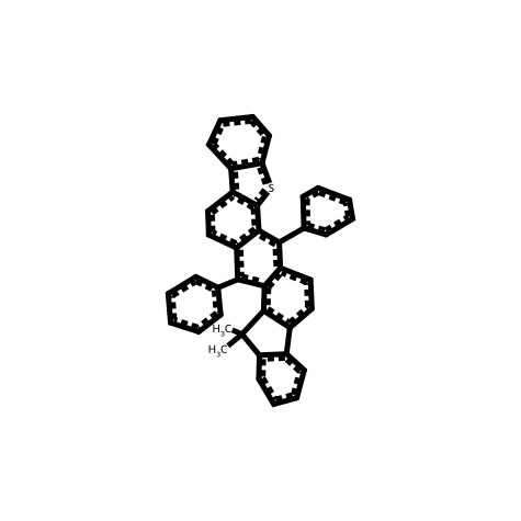 CC1(C)c2ccccc2-c2ccc3c(-c4ccccc4)c4c(ccc5c6ccccc6sc54)c(-c4ccccc4)c3c21